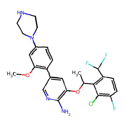 COc1cc(N2CCNCC2)ccc1-c1cnc(N)c(OC(C)c2c(C(F)F)ccc(F)c2Cl)c1